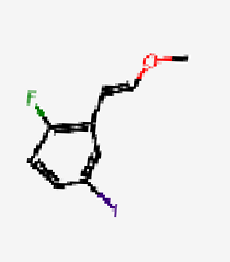 COC=Cc1cc(I)ccc1F